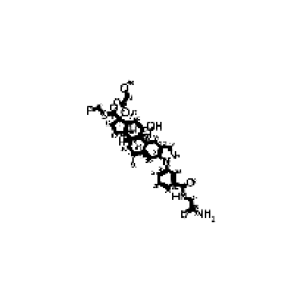 COCC(=O)O[C@]1(C(=O)SCF)CC[C@H]2[C@@H]3C[C@H](C)C4=Cc5c(cnn5-c5cccc(C(=O)NCC(N)=O)c5)C[C@]4(C)[C@H]3[C@@H](O)C[C@@]21C